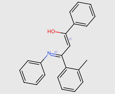 Cc1ccccc1C(/C=C(\O)c1ccccc1)=N\c1ccccc1